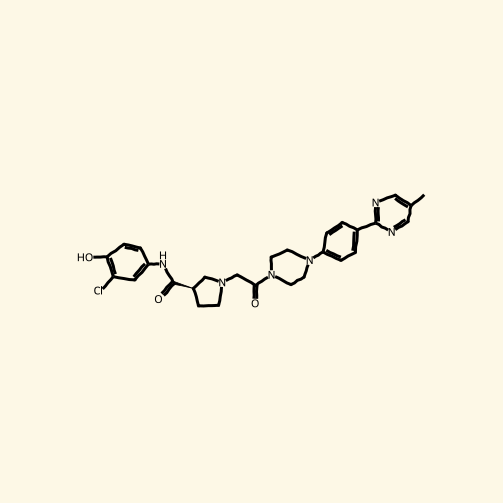 Cc1cnc(-c2ccc(N3CCN(C(=O)CN4CC[C@@H](C(=O)Nc5ccc(O)c(Cl)c5)C4)CC3)cc2)nc1